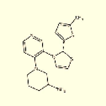 Cc1ccc([C@@H]2SC=CN2c2cnccc2N2CCCC(N)C2)s1